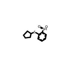 O=[SH](=O)c1ccccc1SC1CCCC1